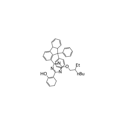 CCCCC(CC)COc1nc(C2=C(O)C=CCC2)nc(-c2cccc3c2C(c2ccccc2)(c2ccccc2)C2C=CC=CC32)n1